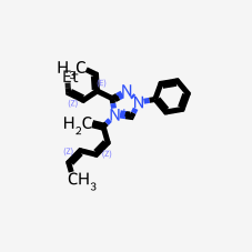 C=C(/C=C\C=C/C)[n+]1cn(-c2ccccc2)nc1C(/C=C\CC)=C/C